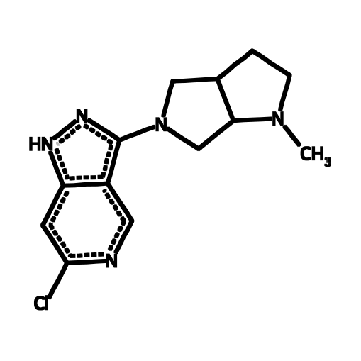 CN1CCC2CN(c3n[nH]c4cc(Cl)ncc34)CC21